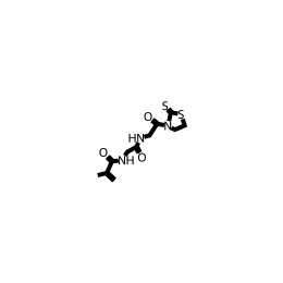 C=C(C)C(=O)NCC(=O)NCC(=O)N1CCSC1=S